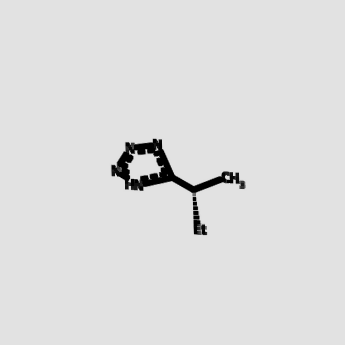 CC[C@@H](C)c1nnn[nH]1